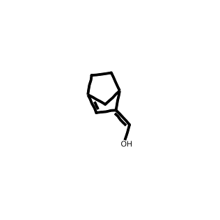 O/C=C1\C=C2CCC1C2